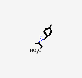 Cc1ccc(CNC(C)CC(=O)O)cc1